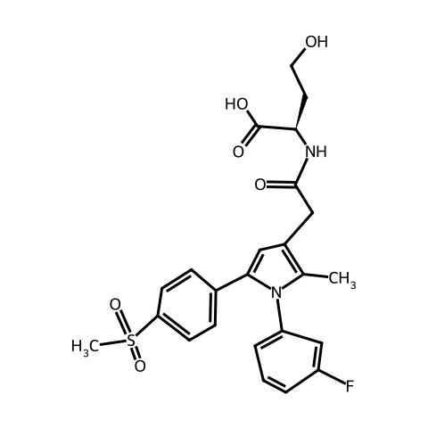 Cc1c(CC(=O)N[C@H](CCO)C(=O)O)cc(-c2ccc(S(C)(=O)=O)cc2)n1-c1cccc(F)c1